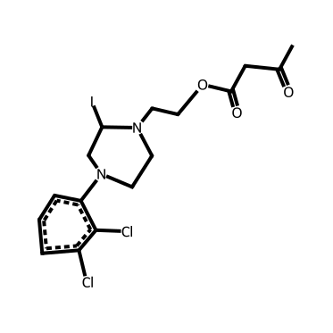 CC(=O)CC(=O)OCCN1CCN(c2cccc(Cl)c2Cl)CC1I